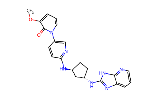 O=c1c(OC(F)(F)F)cccn1-c1ccc(N[C@H]2CC[C@H](Nc3nc4cccnc4[nH]3)C2)nc1